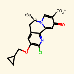 CC(C)(C)[C@@H]1Cc2cc(OCC3CC3)c(Cl)nc2-c2cc(=O)c(C(=O)O)cn21